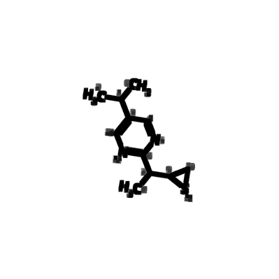 CC(C)c1cnc(C(C)C2CS2)nc1